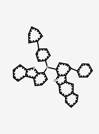 c1ccc(-c2ccc(N(c3ccc(-c4ccccc4)c4c3oc3cc5ccccc5cc34)c3cccc4c3sc3ccccc34)cc2)cc1